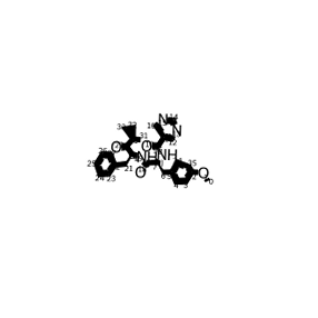 COc1ccc(C[C@H](NC(=O)c2cncnc2)C(=O)N[C@@H](Cc2ccccc2)C(=O)C2(C)CC2)cc1